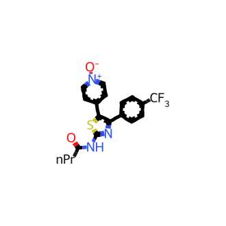 CCCC(=O)Nc1nc(-c2ccc(C(F)(F)F)cc2)c(-c2cc[n+]([O-])cc2)s1